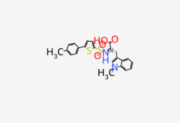 Cc1ccc(-c2ccc(S(=O)(=O)N[C@@H](Cc3cn(C)c4ccccc34)C(=O)O)s2)cc1